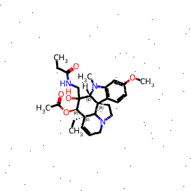 CCC(=O)NCC1(O)[C@H](OC(C)=O)[C@]2(CC)C=CCN3CC[C@@]4(c5ccc(OC)cc5N(C)[C@@H]14)C32